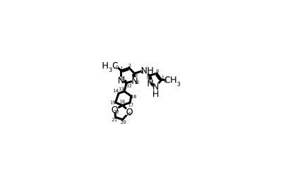 Cc1cc(Nc2cc(C)[nH]n2)nc(C2CCC3(CC2)OCCO3)n1